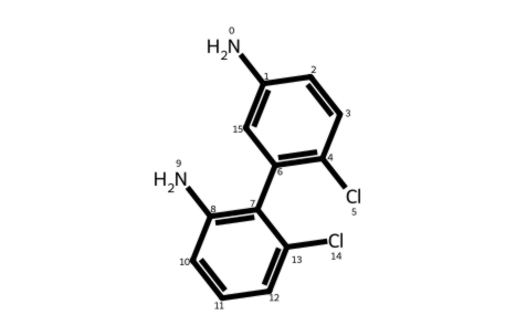 Nc1ccc(Cl)c(-c2c(N)cccc2Cl)c1